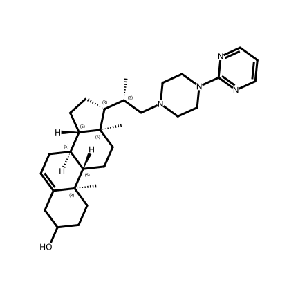 C[C@H](CN1CCN(c2ncccn2)CC1)[C@H]1CC[C@H]2[C@@H]3CC=C4CC(O)CC[C@]4(C)[C@H]3CC[C@]12C